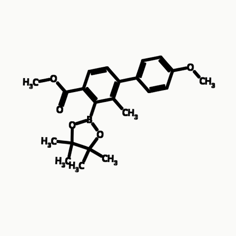 COC(=O)c1ccc(-c2ccc(OC)cc2)c(C)c1B1OC(C)(C)C(C)(C)O1